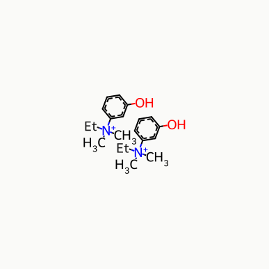 CC[N+](C)(C)c1cccc(O)c1.CC[N+](C)(C)c1cccc(O)c1